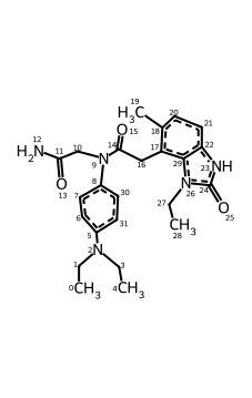 CCN(CC)c1ccc(N(CC(N)=O)C(=O)Cc2c(C)ccc3[nH]c(=O)n(CC)c23)cc1